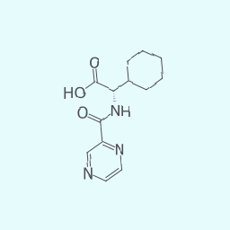 O=C(N[C@H](C(=O)O)C1CCCCC1)c1cnccn1